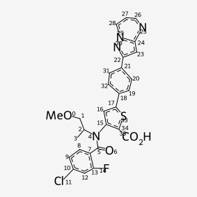 COCC(C)N(C(=O)c1ccc(Cl)cc1F)c1cc(-c2ccc(-c3cc4ncccn4n3)cc2)sc1C(=O)O